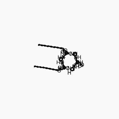 C#CC#CC#CC#CC#CC#CC#CC#CCC(=O)Oc1cc2c(O)c(c1)CNC1CCCCC1NCc1cc(CC(=O)OC#CC#CC#CC#CC#CC#CC#CC#C)cc(c1O)CNC1CCCCC1NCc1cc(CC(=O)OC)cc(c1O)CNC1CCCCC1NC2